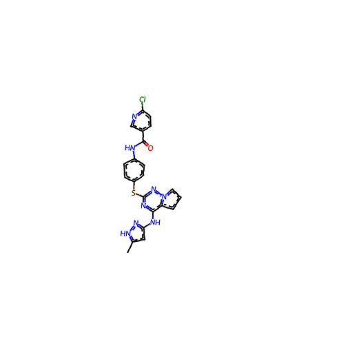 Cc1cc(Nc2nc(Sc3ccc(NC(=O)c4ccc(Cl)nc4)cc3)nn3cccc23)n[nH]1